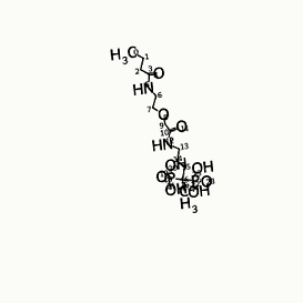 CCCC(=O)NCCOCC(=O)NCCCC(C)(P(=O)(O)O)P(=O)(O)O